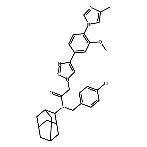 COc1cc(-c2cn(CC(=O)N(Cc3ccc(Cl)cc3)C3C4CC5CC(C4)CC3C5)nn2)ccc1-n1cnc(C)c1